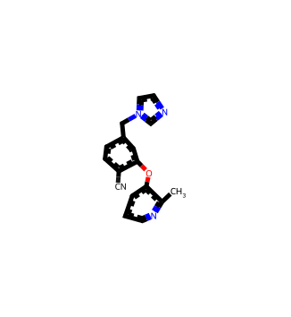 Cc1ncccc1Oc1cc(Cn2ccnc2)ccc1C#N